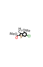 COC(=O)c1sc2cc(Cl)cc(OC)c2c1C